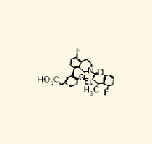 CCOc1ccc(CC(=O)O)cc1-c1ccc(F)c2c1CN(C(=O)CC(C)c1ccccc1F)CC2